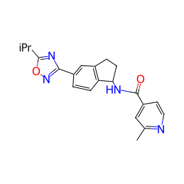 Cc1cc(C(=O)NC2CCc3cc(-c4noc(C(C)C)n4)ccc32)ccn1